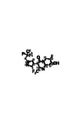 O=c1c(-c2cnn(CC(F)(F)C(F)(F)F)c2)c(C(F)(F)F)nc2cc(O)c(F)cn12